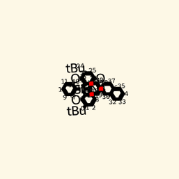 CC(C)(C)c1ccc2c3c1Oc1cccc4c1[Si]3(c1ccccc1)c1c(c(C(C)(C)C)cc3c1N2c1cc2ccccc2cc1O3)O4